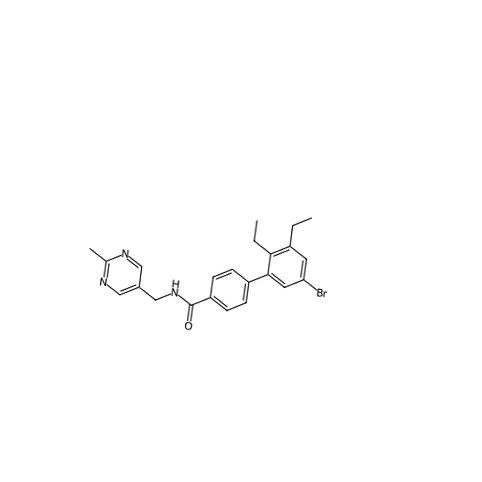 CCc1cc(Br)cc(-c2ccc(C(=O)NCc3cnc(C)nc3)cc2)c1CC